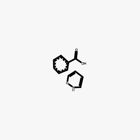 C1=CNOC=C1.O=C(O)c1ccccc1